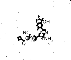 Cc1ccc(C(C)(O)C(F)F)cc1-c1cnc2c(N)nc(-c3cnn(C4(CC#N)CN(C(=O)C5CCC5)C4)c3)cn12